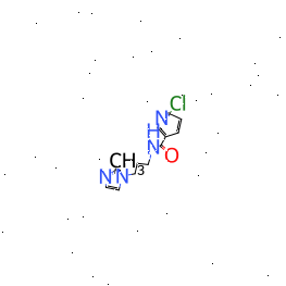 Cc1nccn1CCCNC(=O)c1ccc(Cl)nc1